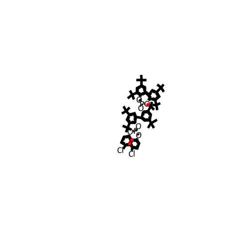 CC(C)(C)c1cc(-c2cc(C(C)(C)C)cc(C(C)(C)C)c2Op2oc3c(C(C)(C)C)cc(C(C)(C)C)cc3c3cc(C(C)(C)C)cc(C(C)(C)C)c3o2)c(OP(Oc2ccc(Cl)cc2)Oc2ccc(Cl)cc2)c(C(C)(C)C)c1